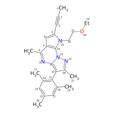 CC#Cc1cc2c(C)nc3c(-c4c(C)cc(C)cc4C)c(C)nn3c2n1CCOCC